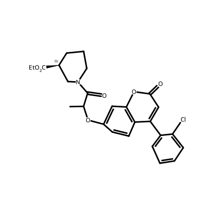 CCOC(=O)[C@H]1CCCN(C(=O)C(C)Oc2ccc3c(-c4ccccc4Cl)cc(=O)oc3c2)C1